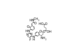 CNC(=O)C=C1C=CC=C(Nc2ncc(F)c(Nc3ccc4c(c3)C(N)CCO4)n2)C1=O.O=C(O)CCC(=O)O